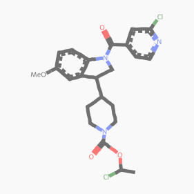 COc1ccc2c(c1)C(C1CCN(C(=O)OC(C)Cl)CC1)CN2C(=O)c1ccnc(Cl)c1